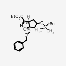 CCOC(=O)C1=NO[C@]2(COCc3ccccc3)CC(O[Si](C)(C)C(C)(C)C)C[C@H]12